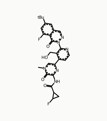 Cn1cc(-c2ccnc(-n3ncc4cc(C(C)(C)C)cc(F)c4c3=O)c2CO)nc(NC(=O)C2CC2F)c1=O